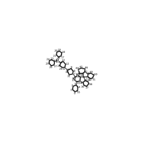 c1ccc(-c2nc(-c3ccc(-c4ccc(P(c5ccccc5)c5ccccc5)cc4)cc3)nc3c2-c2ccccc2C32c3ccccc3-c3ccccc32)cc1